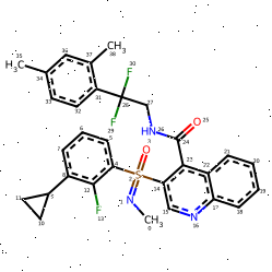 CN=S(=O)(c1cccc(C2CC2)c1F)c1cnc2ccccc2c1C(=O)NCC(F)(F)c1ccc(C)cc1C